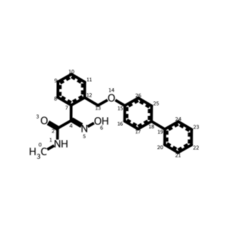 CNC(=O)/C(=N/O)c1ccccc1COc1ccc(-c2ccccc2)cc1